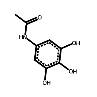 CC(=O)Nc1cc(O)c(O)c(O)c1